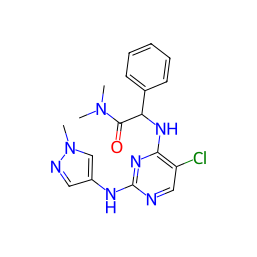 CN(C)C(=O)C(Nc1nc(Nc2cnn(C)c2)ncc1Cl)c1ccccc1